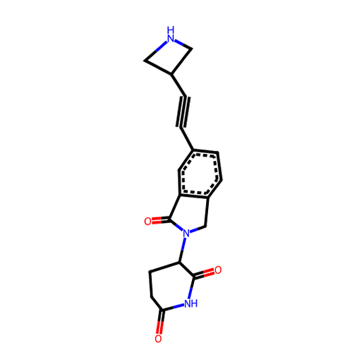 O=C1CCC(N2Cc3ccc(C#CC4CNC4)cc3C2=O)C(=O)N1